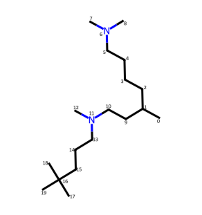 CC(CCCCN(C)C)CCN(C)CCCC(C)(C)C